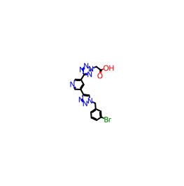 O=C(O)Cn1nnc(-c2cncc(-c3cn(Cc4cccc(Br)c4)nn3)c2)n1